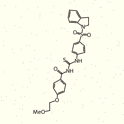 COCCOc1ccc(C(=O)NC(=S)Nc2ccc(S(=O)(=O)N3CCc4ccccc43)cc2)cc1